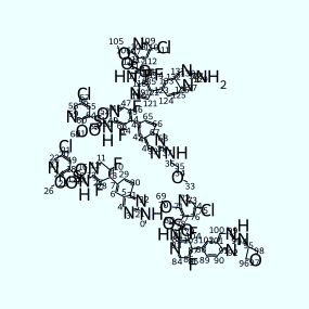 CNc1ncc2cc(-c3c(F)cnc(NS(=O)(=O)c4cc(Cl)cnc4OC)c3F)ccc2n1.COCCNc1ncc2cc(-c3c(F)cnc(NS(=O)(=O)c4cc(Cl)cnc4OC)c3F)ccc2n1.COc1ncc(Cl)cc1S(=O)(=O)Nc1ncc(F)c(-c2ccc3nc(NC4COC4)ncc3c2)c1F.COc1ncc(Cl)cc1S(=O)(=O)Nc1nccc(-c2ccc3nc(N)ncc3c2F)c1F